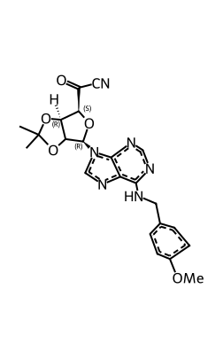 COc1ccc(CNc2ncnc3c2ncn3[C@@H]2O[C@H](C(=O)C#N)[C@@H]3OC(C)(C)OC32)cc1